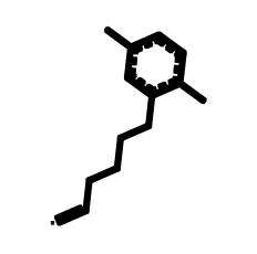 [CH]=CCCCCc1cc(C)ccc1C